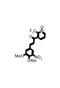 COc1cc(/C=C/C(=O)c2ccc[n+]([O-])c2C(F)(F)F)cc([N+](=O)[O-])c1OC